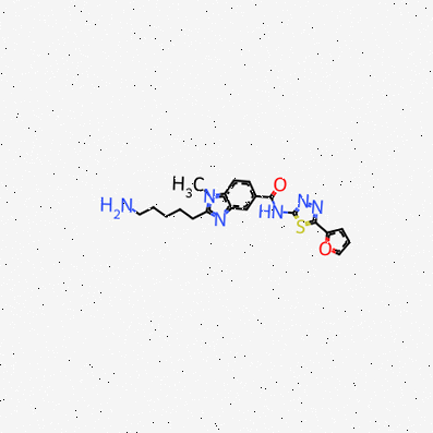 Cn1c(CCCCCN)nc2cc(C(=O)Nc3nnc(-c4ccco4)s3)ccc21